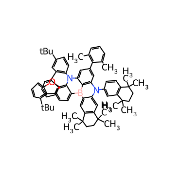 Cc1cccc(C)c1-c1cc2c3c(c1)N(c1ccc(C(C)(C)C)cc1-c1ccccc1)c1c(ccc4c1oc1cccc(C(C)(C)C)c14)B3c1cc3c(cc1N2c1ccc2c(c1)C(C)(C)CCC2(C)C)C(C)(C)CCC3(C)C